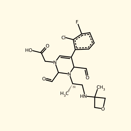 C[C@@H](CNC1(C)COC1)N1C(C=O)C(c2cccc(F)c2Cl)=CN(CC(=O)O)C1C=O